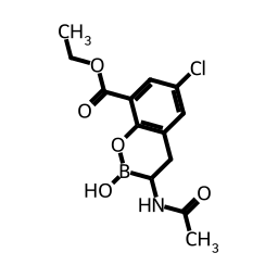 CCOC(=O)c1cc(Cl)cc2c1OB(O)C(NC(C)=O)C2